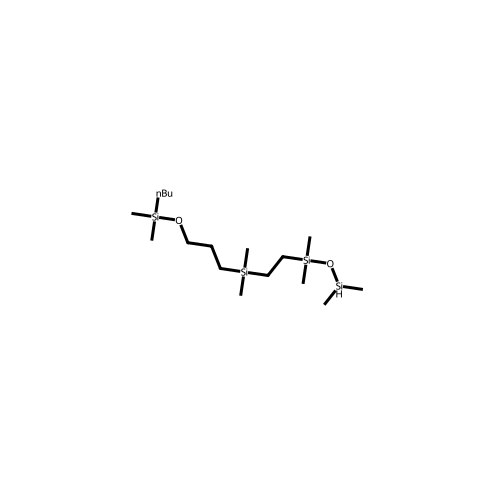 CCCC[Si](C)(C)OCCC[Si](C)(C)CC[Si](C)(C)O[SiH](C)C